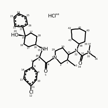 CC1CN(C(=O)[C@@H](Cc2ccc(Cl)cc2)N[C@H]2CC[C@](O)(c3ccccc3)CC2)CCC1N(C(=O)N(C)C)C1CCCCC1.Cl